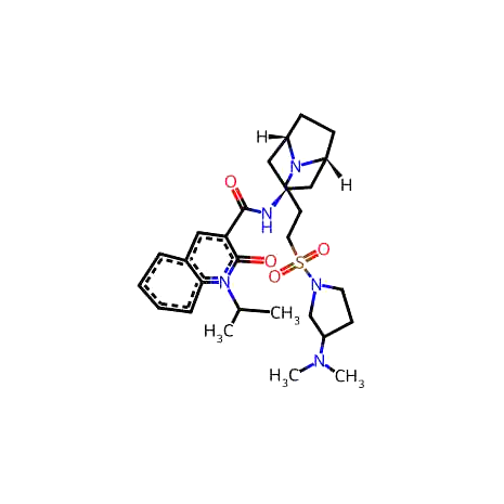 CC(C)n1c(=O)c(C(=O)N[C@@H]2C[C@H]3CC[C@@H](C2)N3CCCS(=O)(=O)N2CCC(N(C)C)C2)cc2ccccc21